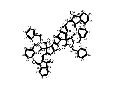 O=C1C(=CC2=Cc3sc4c5c(sc4c3C2(C(=O)OCc2ccccc2)C(=O)OCc2ccccc2)-c2sc(C=C3C(=O)c4ccccc4C3=O)cc2C5(C(=O)OCc2ccccc2)C(=O)OCc2ccccc2)C(=O)c2ccccc21